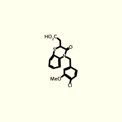 COc1cc(CN2C(=O)C(CC(=O)O)Sc3ccccc32)ccc1Cl